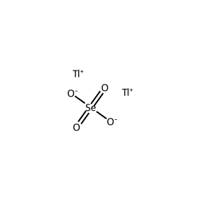 O=[Se](=O)([O-])[O-].[Tl+].[Tl+]